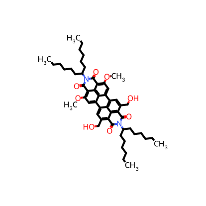 CCCCCCC(CCCCCC)N1C(=O)c2c(CO)cc3c4cc(OC)c5c6c(c(OC)cc(c7cc(CO)c(c2c37)C1=O)c64)C(=O)N(C(CCCCCC)CCCCCC)C5=O